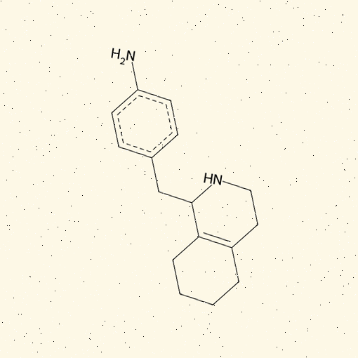 Nc1ccc(CC2NCCC3=C2CCCC3)cc1